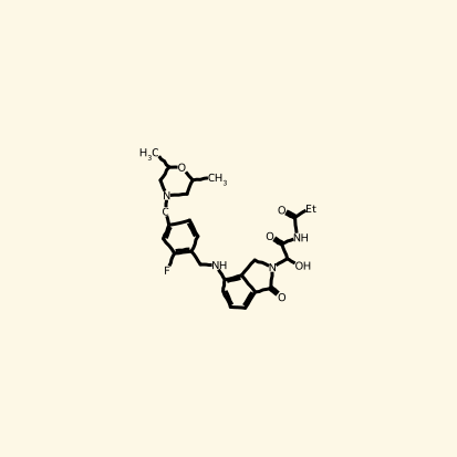 CCC(=O)NC(=O)C(O)N1Cc2c(NCc3ccc(CN4CC(C)OC(C)C4)cc3F)cccc2C1=O